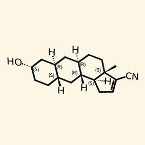 C[C@]12CC[C@@H]3C[C@@H]4C[C@@H](O)CC[C@H]4C[C@H]3[C@@H]1CC=C2C#N